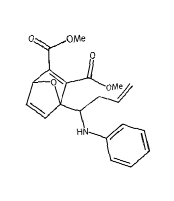 C=CCC(Nc1ccccc1)C12C=CC(O1)C(C(=O)OC)=C2C(=O)OC